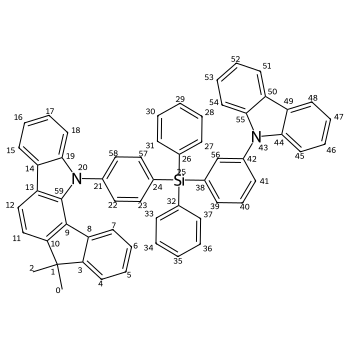 CC1(C)c2ccccc2-c2c1ccc1c3ccccc3n(-c3ccc([Si](c4ccccc4)(c4ccccc4)c4cccc(-n5c6ccccc6c6ccccc65)c4)cc3)c21